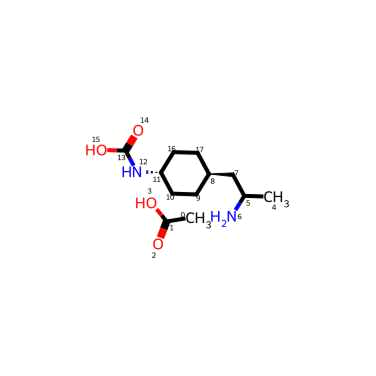 CC(=O)O.CC(N)C[C@H]1CC[C@H](NC(=O)O)CC1